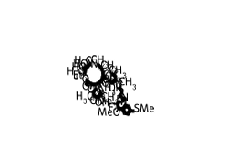 CC[C@H]1OC(=O)[C@H](C)C([C@H]2C[C@@](C)(OC)[C@@H](O)[C@H](C)O2)[C@H](C)[C@@H](O[C@@H]2O[C@H](C)C[C@H](N(C)CCc3cn([C@H](CF)[C@H](OC)c4ccc(CSC)cc4)nn3)[C@H]2O)[C@](C)(O)C[C@@H](C)CN(C)[C@H](C)[C@@H](O)[C@]1(C)O